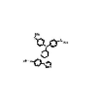 CC(C)(C)Sc1ccc(B(c2ccc(SC(C)(C)C)cc2)C2CCCCC2)cc1.CCCCCCc1ccc(-n2ccnc2)cc1